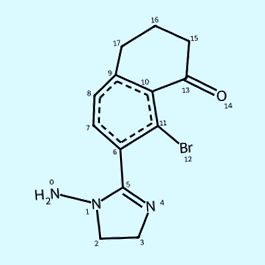 NN1CCN=C1c1ccc2c(c1Br)C(=O)CCC2